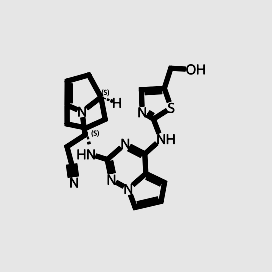 N#CCCN1C2=CC[C@H]1C[C@H](Nc1nc(Nc3ncc(CO)s3)c3cccn3n1)C2